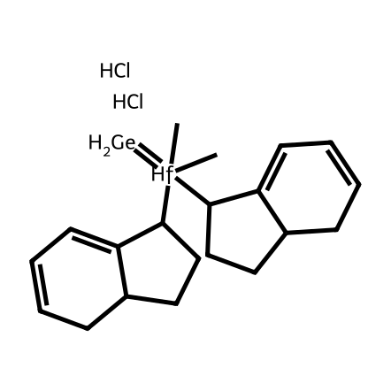 Cl.Cl.[CH3][Hf]([CH3])(=[GeH2])([CH]1CCC2CC=CC=C21)[CH]1CCC2CC=CC=C21